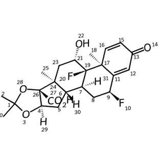 CC1(C)O[C@@H]2C[C@H]3[C@@H]4C[C@H](F)C5=CC(=O)C=C[C@]5(C)[C@@]4(F)[C@@H](O)C[C@]3(C)[C@@]2(C(=O)O)O1